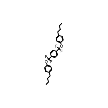 CCCCc1ccc(OC(F)(F)c2ccc(C(F)(F)Oc3ccc(CCCC)cc3)cc2)cc1